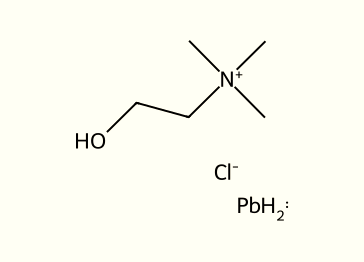 C[N+](C)(C)CCO.[Cl-].[PbH2]